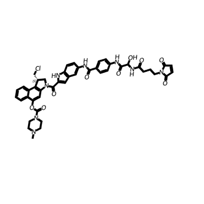 CN1CCN(C(=O)Oc2cc3c(c4ccccc24)[C@H](CCl)CN3C(=O)c2cc3cc(NC(=O)c4ccc(NC(=O)C(O)NC(=O)CCCN5C(=O)C=CC5=O)cc4)ccc3[nH]2)CC1